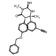 CN1C(=N)N[C@](C)(c2cccc(C#N)c2)[C@@H](c2ccc(OCc3ccccc3)cc2)C1=O